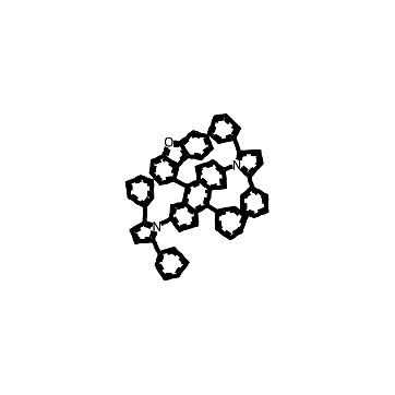 c1ccc(-c2c3cc(-n4c(-c5ccccc5)ccc4-c4ccccc4)ccc3c(-c3cccc4oc5ccccc5c34)c3cc(-n4c(-c5ccccc5)ccc4-c4ccccc4)ccc23)cc1